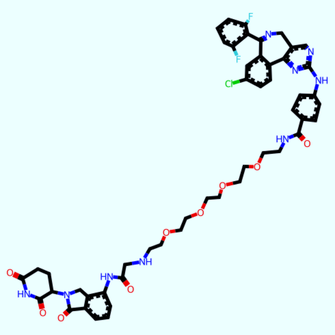 O=C1CCC(N2Cc3c(NC(=O)CNCCOCCOCCOCCOCCNC(=O)c4ccc(Nc5ncc6c(n5)-c5ccc(Cl)cc5C(c5c(F)cccc5F)=NC6)cc4)cccc3C2=O)C(=O)N1